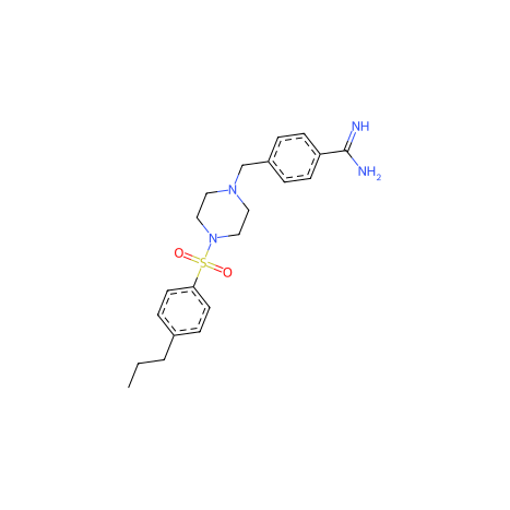 CCCc1ccc(S(=O)(=O)N2CCN(Cc3ccc(C(=N)N)cc3)CC2)cc1